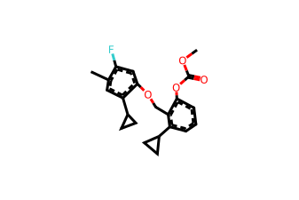 COC(=O)Oc1cccc(C2CC2)c1COc1cc(F)c(C)cc1C1CC1